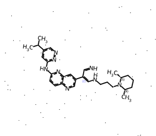 CC(C)c1cnnc(Nc2ccc3ncc(/C(C=N)=C/NCCCN4[C@H](C)CCC[C@@H]4C)cc3n2)c1